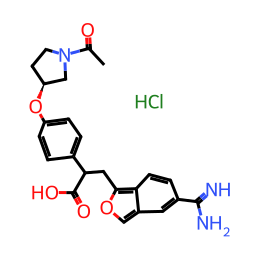 CC(=O)N1CC[C@H](Oc2ccc(C(Cc3occ4cc(C(=N)N)ccc34)C(=O)O)cc2)C1.Cl